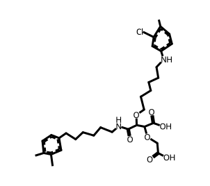 Cc1ccc(CCCCCCNC(=O)C(OCCCCCCNc2ccc(C)c(Cl)c2)C(OCC(=O)O)C(=O)O)cc1C